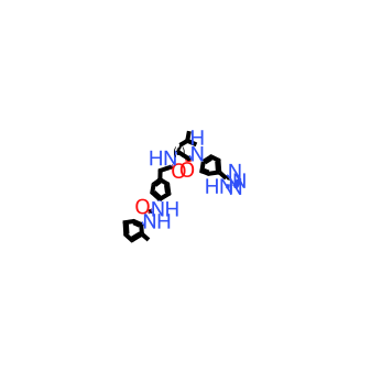 Cc1ccccc1NC(=O)Nc1ccc(CC(=O)N[C@@H](CC(C)C)C(=O)Nc2ccc(-c3nnn[nH]3)cc2)cc1